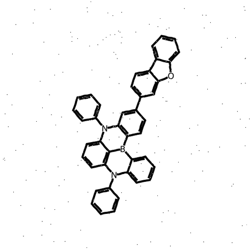 c1ccc(N2c3ccccc3B3c4ccc(-c5ccc6c(c5)oc5ccccc56)cc4N(c4ccccc4)c4cccc2c43)cc1